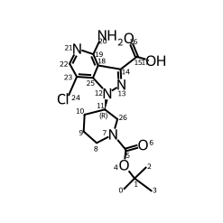 CC(C)(C)OC(=O)N1CCC[C@@H](n2nc(C(=O)O)c3c(N)ncc(Cl)c32)C1